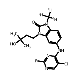 [2H]C([2H])([2H])n1c(=O)n(CCC(C)(C)O)c2cc(Nc3nc(F)ncc3Cl)ccc21